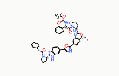 COC(=O)N[C@@H](C(=O)N1CCC[C@H]1C(=O)Nc1cc(-c2ncc(-c3ccc4nc([C@@H]5CCCN5C(=O)Cc5ccccc5)[nH]c4c3)o2)ccc1C)c1ccccc1